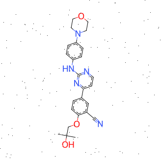 CC(C)(O)COc1ccc(-c2ccnc(Nc3ccc(N4CCOCC4)cc3)n2)cc1C#N